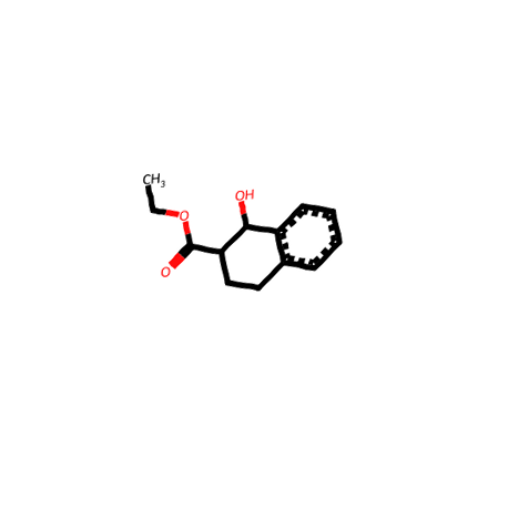 CCOC(=O)C1CCc2ccccc2C1O